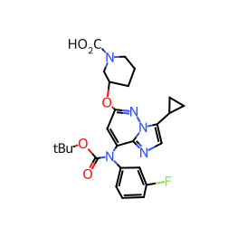 CC(C)(C)OC(=O)N(c1cccc(F)c1)c1cc(OC2CCCN(C(=O)O)C2)nn2c(C3CC3)cnc12